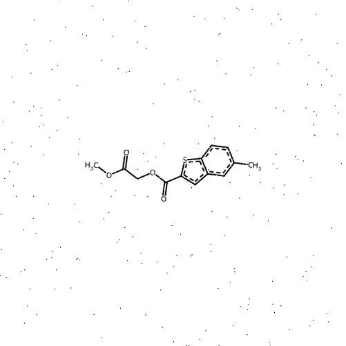 COC(=O)COC(=O)c1cc2cc(C)ccc2s1